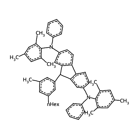 CCCCCCc1cc(C)cc(C2c3cc(N(c4ccccc4)c4c(C)cc(C)cc4C)ccc3-c3ccc(N(c4ccccc4)c4c(C)cc(C)cc4C)cc32)c1